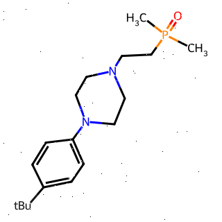 CC(C)(C)c1ccc(N2CCN(CCP(C)(C)=O)CC2)cc1